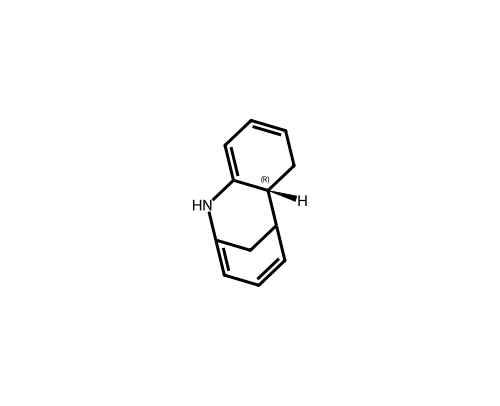 C1=CC[C@H]2C(=C1)NC1=CC=CC2C1